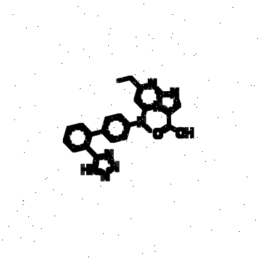 CCc1cc(N(C)c2ccc(-c3ccccc3-c3nnn[nH]3)cc2)n2c(C(=O)O)cnc2n1